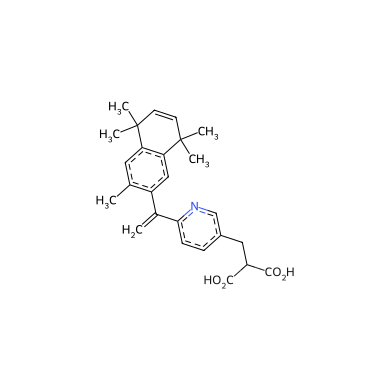 C=C(c1ccc(CC(C(=O)O)C(=O)O)cn1)c1cc2c(cc1C)C(C)(C)C=CC2(C)C